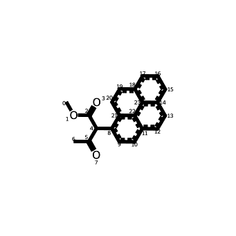 COC(=O)C(C(C)=O)c1ccc2ccc3cccc4ccc1c2c34